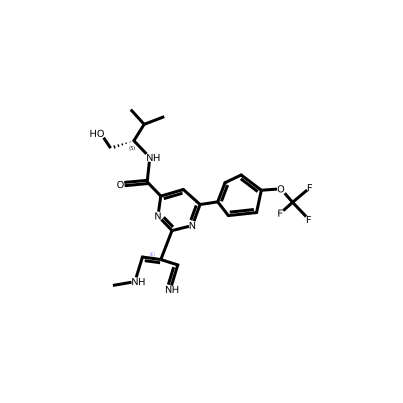 CN/C=C(\C=N)c1nc(C(=O)N[C@H](CO)C(C)C)cc(-c2ccc(OC(F)(F)F)cc2)n1